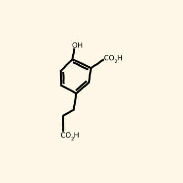 O=C(O)CCc1ccc(O)c(C(=O)O)c1